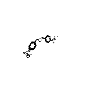 C[S+]([O-])c1ccc(COCc2ccc([S+](C)[O-])cc2)cc1